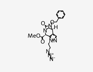 COC(=O)[C@@H]1c2c(cnn2CCN=[N+]=[N-])[C@H]2CN1C(=O)N2OCc1ccccc1